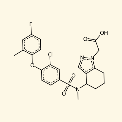 Cc1cc(F)ccc1Oc1ccc(S(=O)(=O)N(C)C2CCCc3c2cnn3CC(=O)O)cc1Cl